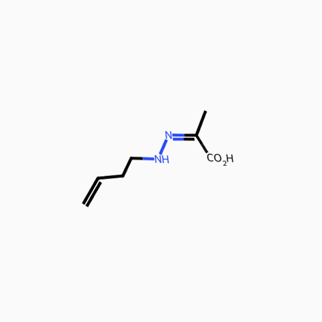 C=CCCN/N=C(/C)C(=O)O